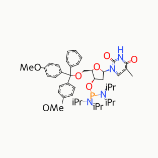 COc1ccc(C(OC[C@H]2O[C@@H](n3cc(C)c(=O)[nH]c3=O)C[C@H]2OP(N(C(C)C)C(C)C)N(C(C)C)C(C)C)(c2ccccc2)c2ccc(OC)cc2)cc1